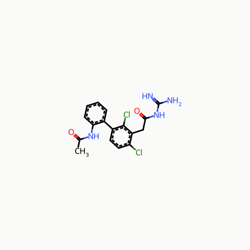 CC(=O)Nc1ccccc1-c1ccc(Cl)c(CC(=O)NC(=N)N)c1Cl